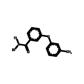 CCN(CC)C(=O)c1cccc(Oc2cccc(C)c2)c1